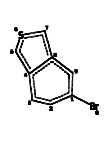 Brc1ccc2cscc2c1